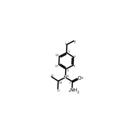 [CH2]Cc1ccc(N(C(N)=O)C(C)C)cc1